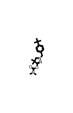 CN(C)C(=O)OC1=NN(Cc2ccc(C(C)(C)C)cc2)CC1(C)C